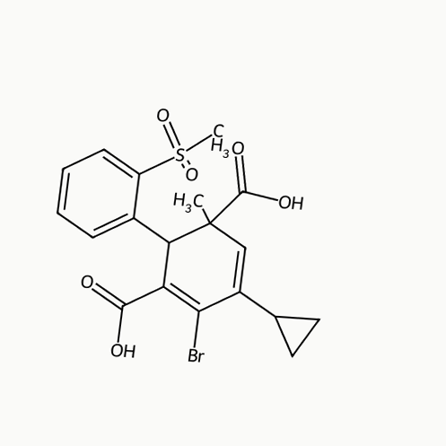 CC1(C(=O)O)C=C(C2CC2)C(Br)=C(C(=O)O)C1c1ccccc1S(C)(=O)=O